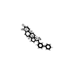 C[C@]12C=CC(=O)NC1CC[C@@H]1[C@H]2CC[C@]2(C)C(C(=O)c3cccc(-c4ccccc4)c3)CC[C@@H]12